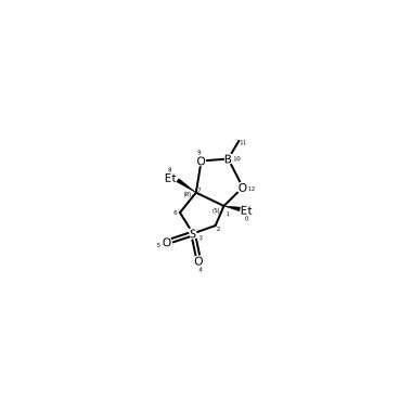 CC[C@@]12CS(=O)(=O)C[C@]1(CC)OB(C)O2